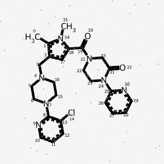 Cc1c(CN2CCN(c3ncccc3Cl)CC2)cc(C(=O)N2CCN(c3ccccn3)C(=O)C2)n1C